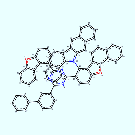 c1ccc(-c2cccc(-c3nc(-c4ccc5oc6c7ccccc7ccc6c5c4-n4c5cc6ccccc6cc5c5ccc6ccccc6c54)nc(-c4cccc5oc6ccccc6c45)n3)c2)cc1